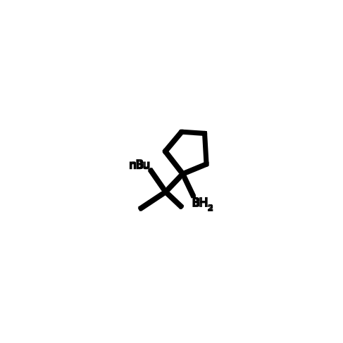 BC1(C(C)(C)CCCC)CCCC1